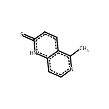 Cc1nccc2[nH]c(=S)ccc12